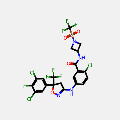 O=C(NC1CN(S(=O)(=O)C(F)(F)F)C1)c1cc(NC2=NOC(c3cc(Cl)c(F)c(Cl)c3)(C(F)(F)F)C2)ccc1Cl